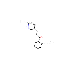 COc1cc(F)ccc1C(=O)CCc1ccc(C(F)(F)F)nc1